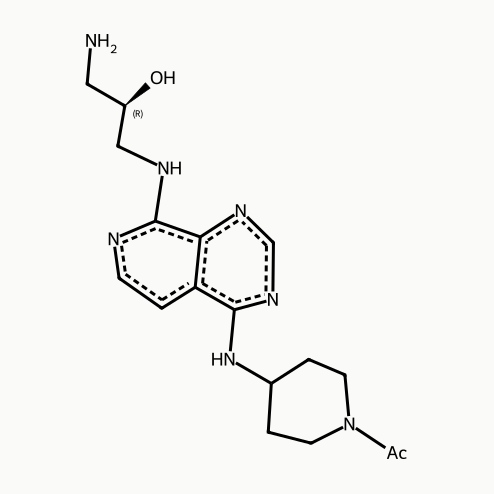 CC(=O)N1CCC(Nc2ncnc3c(NC[C@H](O)CN)nccc23)CC1